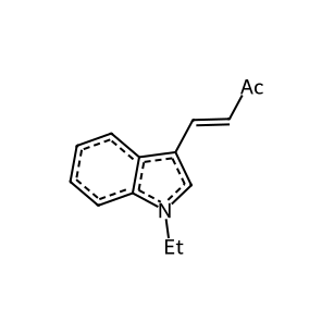 CCn1cc(/C=C/C(C)=O)c2ccccc21